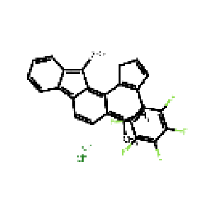 CC(C)=c1ccc2c(c1C1=C(c3c(F)c(F)c(F)c(F)c3F)C=CC1)[C]([Zr+2])=c1ccccc1=2.[Cl-].[Cl-]